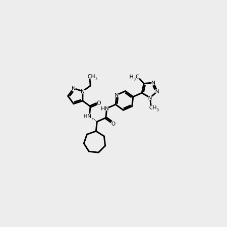 CCn1nccc1C(=O)N[C@H](C(=O)Nc1ccc(-c2c(C)nnn2C)cn1)C1CCCCCC1